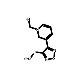 [2H]CN1C=CC=C(c2nsnc2OCCCCCC)C1